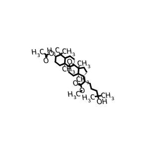 COC(=O)[C@H](CCCC(C)(C)O)[C@H]1CC[C@@]2(C)[C@@]34CCC5C(C)(C)[C@@H](OC(C)=O)CC[C@]5(C)[C@]3(CC[C@]12C)O4